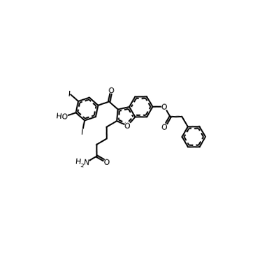 NC(=O)CCCc1oc2cc(OC(=O)Cc3ccccc3)ccc2c1C(=O)c1cc(I)c(O)c(I)c1